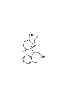 C=C1C[C@]23C[C@@]1(O)CC[C@H]2c1cccc(C)c1[C@@H]3CO